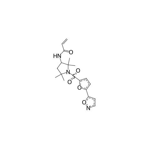 C=CC(=O)NC1CC(C)(C)N(S(=O)(=O)c2ccc(-c3ccno3)o2)C1(C)C